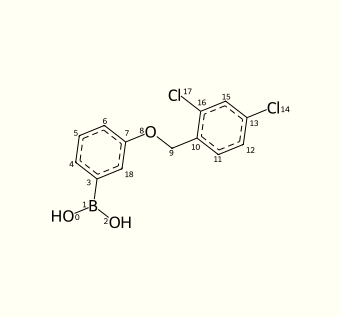 OB(O)c1cccc(OCc2ccc(Cl)cc2Cl)c1